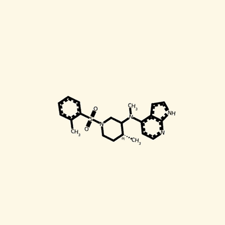 Cc1ccccc1S(=O)(=O)N1CC[C@@H](C)C(N(C)c2ccnc3[nH]ccc23)C1